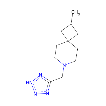 CC1CC2(CCN(Cc3nn[nH]n3)CC2)C1